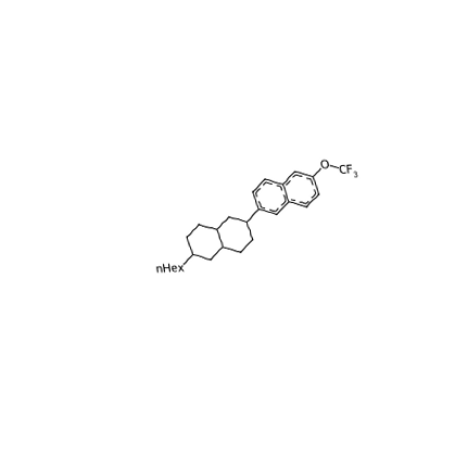 CCCCCCC1CCC2CC(c3ccc4cc(OC(F)(F)F)ccc4c3)CCC2C1